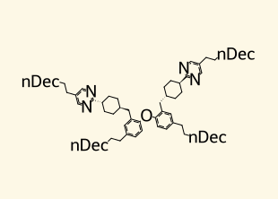 CCCCCCCCCCCCc1cnc([C@H]2CC[C@H](Cc3cc(CCCCCCCCCCCC)ccc3Oc3ccc(CCCCCCCCCCCC)cc3C[C@H]3CC[C@H](c4ncc(CCCCCCCCCCCC)cn4)CC3)CC2)nc1